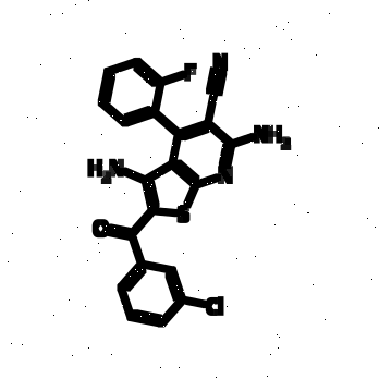 N#Cc1c(N)nc2sc(C(=O)c3cccc(Cl)c3)c(N)c2c1-c1ccccc1F